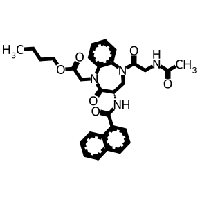 CCCCOC(=O)CN1C(=O)[C@@H](NC(=O)c2cccc3ccccc23)CN(C(=O)CNC(C)=O)c2ccccc21